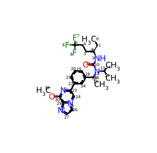 CC[C@H](CCC(F)(F)F)NC(=O)N(C(C)C)[C@H](C)c1cccc(-c2cn3ccnc3c(OC)n2)c1